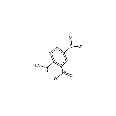 NNc1ncc([N+](=O)[O-])cc1[N+](=O)[O-]